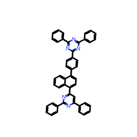 c1ccc(-c2cc(-c3ccc(-c4ccc(-c5nc(-c6ccccc6)nc(-c6ccccc6)n5)cc4)c4ccccc34)nc(-c3ccccc3)n2)cc1